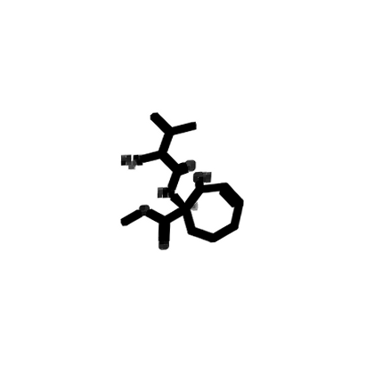 COC(=O)[C@@]1(NC(=O)C(N)C(C)C)CCCC=CC1O